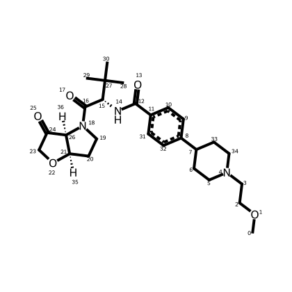 COCCN1CCC(c2ccc(C(=O)N[C@H](C(=O)N3CC[C@H]4OCC(=O)[C@H]43)C(C)(C)C)cc2)CC1